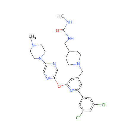 CNC(=O)NCC1CCN(Cc2cc(Oc3cnc(N4CCN(C)CC4)cn3)nc(-c3cc(Cl)cc(Cl)c3)c2)CC1